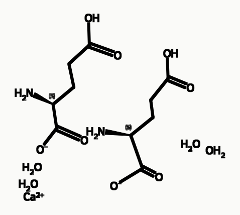 N[C@@H](CCC(=O)O)C(=O)[O-].N[C@@H](CCC(=O)O)C(=O)[O-].O.O.O.O.[Ca+2]